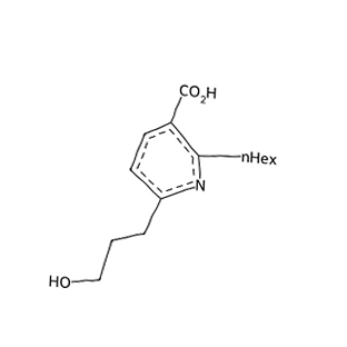 CCCCCCc1nc(CCCO)ccc1C(=O)O